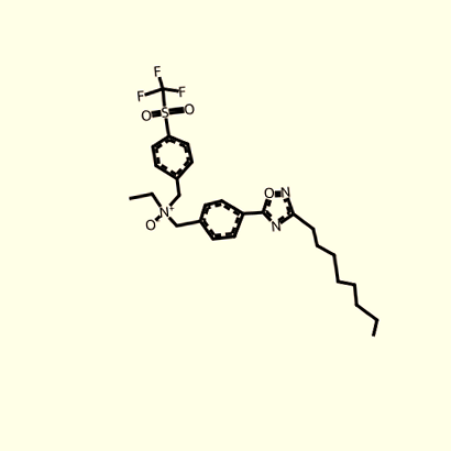 CCCCCCCCc1noc(-c2ccc(C[N+]([O-])(CC)Cc3ccc(S(=O)(=O)C(F)(F)F)cc3)cc2)n1